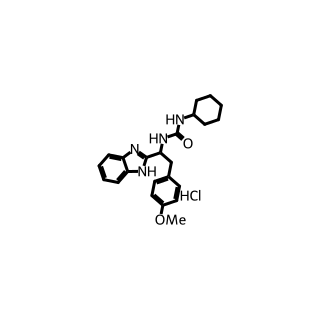 COc1ccc(CC(NC(=O)NC2CCCCC2)c2nc3ccccc3[nH]2)cc1.Cl